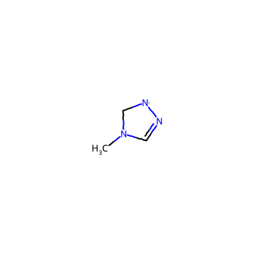 CN1C=N[N]C1